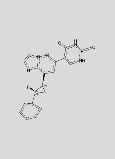 O=c1[nH]cc(-c2cc([C@H]3C[C@]3(F)c3ccccc3)c3nccn3n2)c(=O)[nH]1